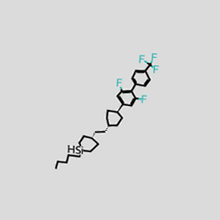 CCCCC[Si@H]1CC[C@H](CC[C@H]2CC[C@H](c3cc(F)c(-c4ccc(C(F)(F)F)cc4)c(F)c3)CC2)CC1